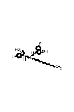 CCCCCCCCCCCCCCN(CCNc1cc[n+](O)c2cc(Cl)ccc12)CCNc1cc[n+](O)c2cc(Cl)ccc12